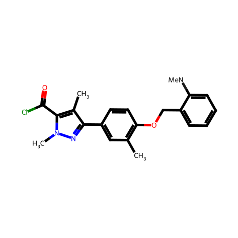 CNc1ccccc1COc1ccc(-c2nn(C)c(C(=O)Cl)c2C)cc1C